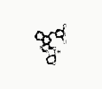 O=c1c2cc(Cc3cc(Cl)nc(Cl)c3)c3ccccc3c2ncn1[C@H]1CCOC[C@@H]1O